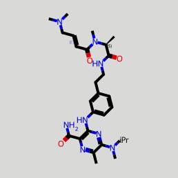 Cc1nc(C(N)=O)c(Nc2cccc(CCNC(=O)[C@H](C)N(C)C(=O)/C=C/CN(C)C)c2)nc1N(C)C(C)C